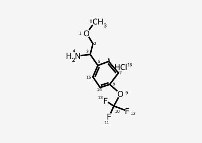 COCC(N)c1ccc(OC(F)(F)F)cc1.Cl